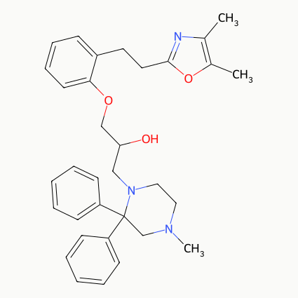 Cc1nc(CCc2ccccc2OCC(O)CN2CCN(C)CC2(c2ccccc2)c2ccccc2)oc1C